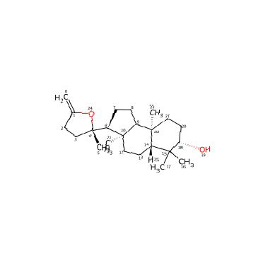 C=C1CC[C@@](C)([C@H]2CCC3[C@@]2(C)CC[C@H]2C(C)(C)[C@@H](O)CC[C@]32C)O1